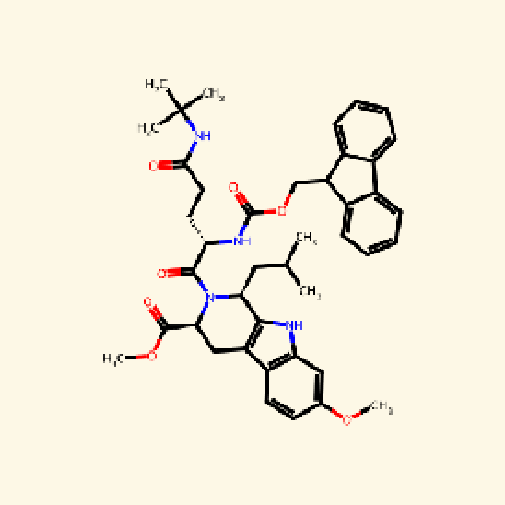 COC(=O)[C@@H]1Cc2c([nH]c3cc(OC)ccc23)[C@H](CC(C)C)N1C(=O)[C@H](CCC(=O)NC(C)(C)C)NC(=O)OCC1c2ccccc2-c2ccccc21